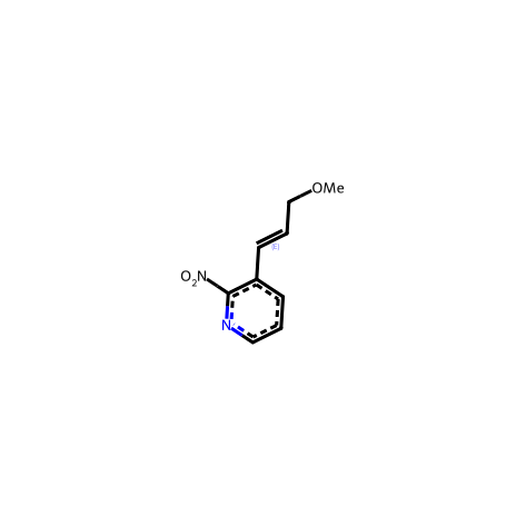 COC/C=C/c1cccnc1[N+](=O)[O-]